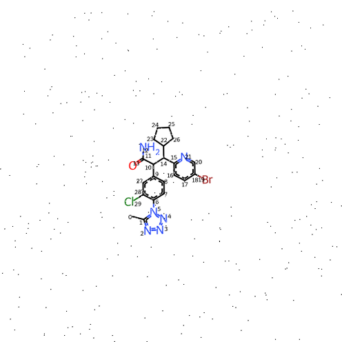 Cc1nnnn1-c1ccc(C(C(N)=O)C(c2ccc(Br)cn2)C2CCCC2)cc1Cl